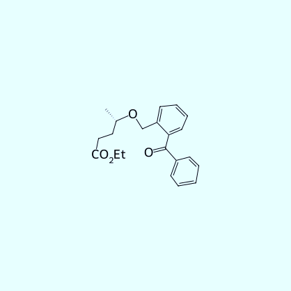 CCOC(=O)CC[C@H](C)OCc1ccccc1C(=O)c1ccccc1